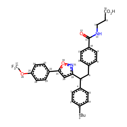 CC(C)(C)c1ccc(C(Cc2ccc(C(=O)NCCC(=O)O)cc2)c2cc(-c3ccc(OC(F)(F)F)cc3)on2)cc1